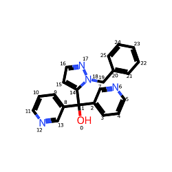 OC(c1cccnc1)(c1cccnc1)c1ccnn1Cc1ccccc1